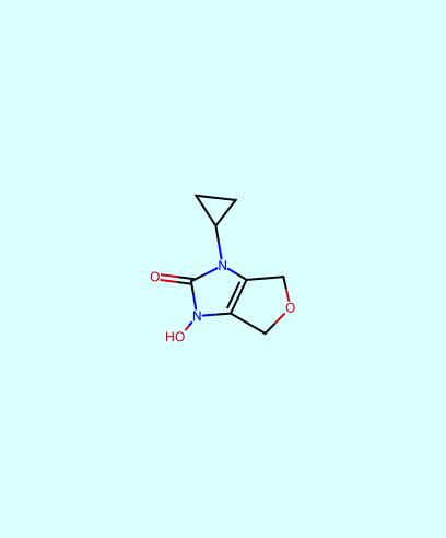 O=c1n(O)c2c(n1C1CC1)COC2